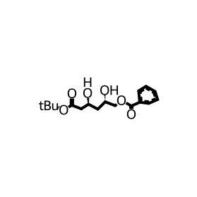 CC(C)(C)OC(=O)C[C@@H](O)C[C@H](O)COC(=O)c1ccccc1